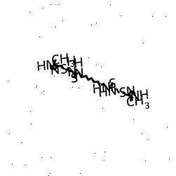 Cc1[nH]cnc1CSCCNC(=S)NCCCCCCCCNC(=S)NCCSCc1nc[nH]c1C